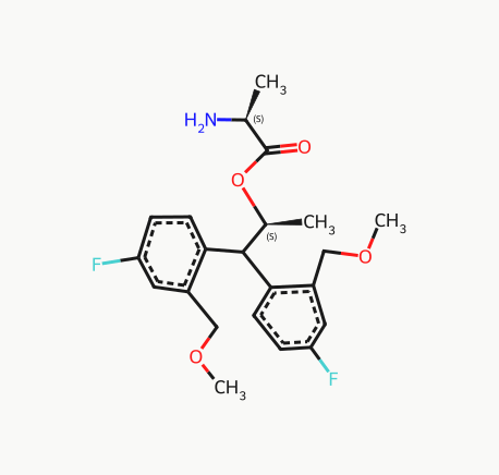 COCc1cc(F)ccc1C(c1ccc(F)cc1COC)[C@H](C)OC(=O)[C@H](C)N